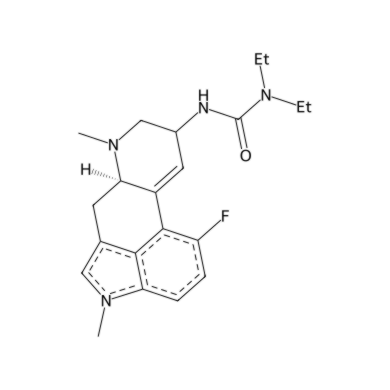 CCN(CC)C(=O)NC1C=C2c3c(F)ccc4c3c(cn4C)C[C@H]2N(C)C1